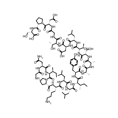 CC[C@H](C)[C@H](NC(=O)[C@H](CC(C)C)NC(=O)[C@H](CC(C)C)NC(=O)[C@H](CCCCN)NC(=O)[C@@H]1CCCN1C(=O)[C@@H](NC(=O)[C@H](CC(N)=O)NC(=O)CN)[C@@H](C)CC)C(=O)N[C@@H](Cc1ccc(O)cc1)C(=O)N[C@@H](C)C(=O)N[C@@H](C)C(=O)N[C@@H](CO)C(=O)N[C@H](C(=O)N[C@@H](CC(C)C)C(=O)N[C@@H](CC(=O)O)C(=O)N[C@H](C(=O)NCC(=O)N[C@@H](CC(=O)O)C(=O)N1CCC[C@H]1C(=O)N[C@@H](CO)C(=O)O)[C@@H](C)O)[C@@H](C)O